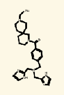 CC(C)(C)CN1CCC2(CCCN(C(=O)c3ccc(CN(Cc4ncc[nH]4)Cc4ncc[nH]4)cc3)C2)CC1